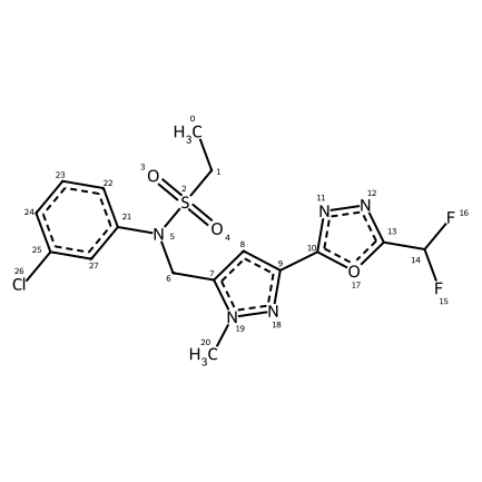 CCS(=O)(=O)N(Cc1cc(-c2nnc(C(F)F)o2)nn1C)c1cccc(Cl)c1